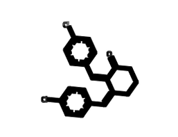 O=C1CCCC(=Cc2ccc(Cl)cc2)C1=Cc1ccc(Cl)cc1